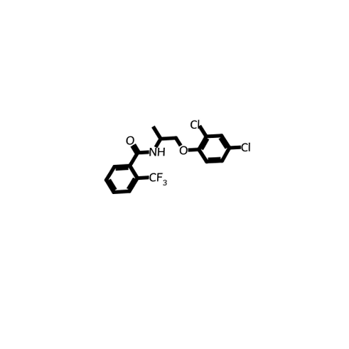 CC(COc1ccc(Cl)cc1Cl)NC(=O)c1ccccc1C(F)(F)F